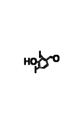 O=Cc1ccc(I)c(O)c1I